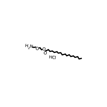 CCCCCCCCCCCCCCCCCC(=O)OCCOCCN.Cl